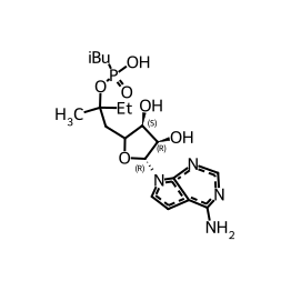 CCC(C)P(=O)(O)OC(C)(CC)CC1O[C@@H](n2ccc3c(N)ncnc32)[C@H](O)[C@@H]1O